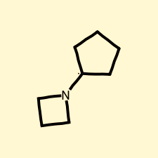 C1CC[C](N2CCC2)C1